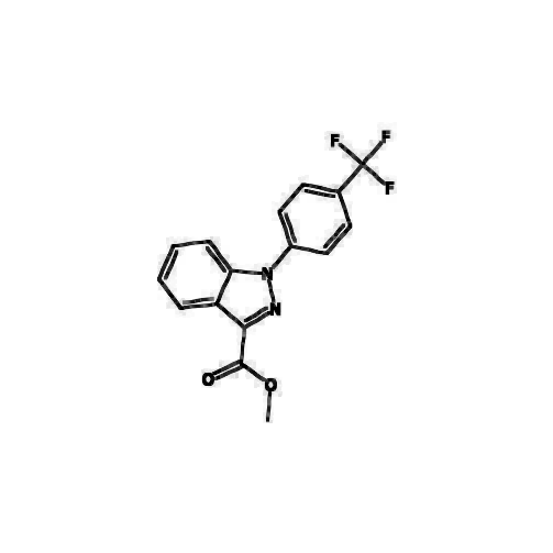 COC(=O)c1nn(-c2ccc(C(F)(F)F)cc2)c2ccccc12